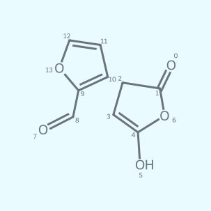 O=C1CC=C(O)O1.O=Cc1ccco1